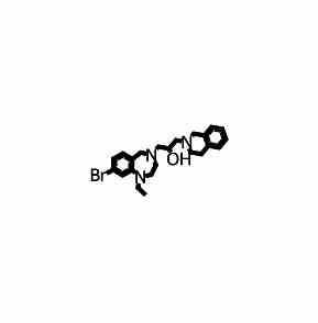 CCN1CCN(CC(O)CN2CCc3ccccc3C2)Cc2ccc(Br)cc21